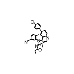 CCC(=O)/N=c1\n(C)c2cnc3ccc(-c4ccc(Cl)cc4)cc3c2n1-c1cc(C#N)ccc1C